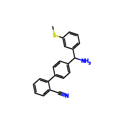 CSc1cccc(C(N)c2ccc(-c3ccccc3C#N)cc2)c1